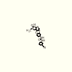 CCN1Cc2c(Oc3ccc(NC(=O)Nc4cccc(C#N)c4)cc3F)ccnc2NC1=O